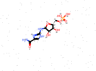 NC(=O)c1c[nH]c(NC2O[C@H](COP(=O)(O)O)[C@@H](O)[C@H]2O)n1